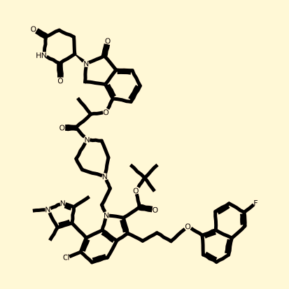 Cc1nn(C)c(C)c1-c1c(Cl)ccc2c(CCCOc3cccc4cc(F)ccc34)c(C(=O)OC(C)(C)C)n(CCN3CCN(C(=O)C(C)Oc4cccc5c4CN([C@@H]4CCC(=O)NC4=O)C5=O)CC3)c12